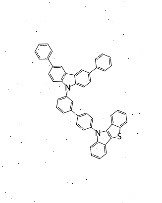 c1ccc(-c2ccc3c(c2)c2cc(-c4ccccc4)ccc2n3-c2cccc(-c3ccc(-n4c5ccccc5c5sc6ccccc6c54)cc3)c2)cc1